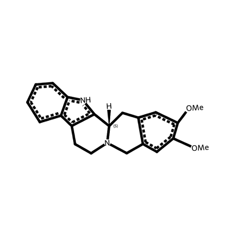 COc1cc2c(cc1OC)CN1CCc3c([nH]c4ccccc34)[C@@H]1C2